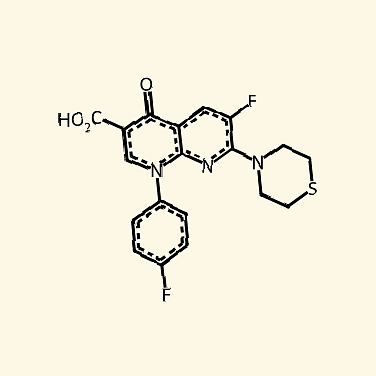 O=C(O)c1cn(-c2ccc(F)cc2)c2nc(N3CCSCC3)c(F)cc2c1=O